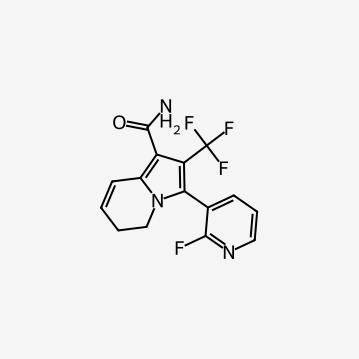 NC(=O)c1c(C(F)(F)F)c(-c2cccnc2F)n2c1C=CCC2